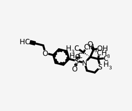 C#CCOc1ccc(S(=O)(=O)N2CCSC(C)(C)[C@@]2(C(=O)O)C(C)(C)C)cc1